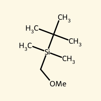 [CH2]OC[Si](C)(C)C(C)(C)C